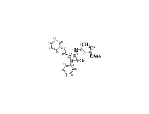 COC(=O)C=C(C)N[C@H]1C(=O)N(c2ccccc2)[C@H]1C=Cc1ccccc1